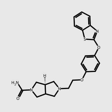 NC(=O)N1CC2CN(CCOc3ccc(Oc4nc5ccccc5s4)cc3)C[C@@H]2C1